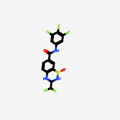 O=C(Nc1cc(F)c(F)c(F)c1)c1ccc2c(c1)[S+]([O-])NC(C(F)F)N2